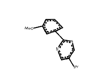 COc1cccc(-c2ncc(C(C)C)cn2)c1